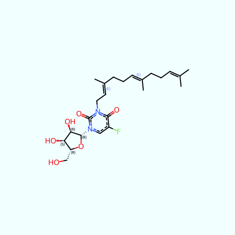 CC(C)=CCC/C(C)=C/CC/C(C)=C/Cn1c(=O)c(F)cn([C@@H]2O[C@H](CO)[C@@H](O)[C@H]2O)c1=O